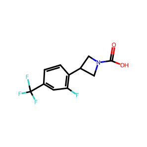 O=C(O)N1CC(c2ccc(C(F)(F)F)cc2F)C1